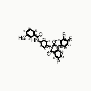 O=C(NC1CCC(n2c(=O)c3cc(F)cnc3n(-c3ccc(F)c(F)c3)c2=O)CC1)c1cccc(O)c1